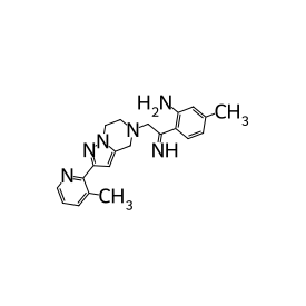 Cc1ccc(C(=N)CN2CCn3nc(-c4ncccc4C)cc3C2)c(N)c1